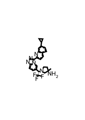 CC1(N)CCN([C@@H](c2ccc3nnc(-c4ccc5ccc(C6CC6)cc5n4)n3c2)C(F)(F)F)C1